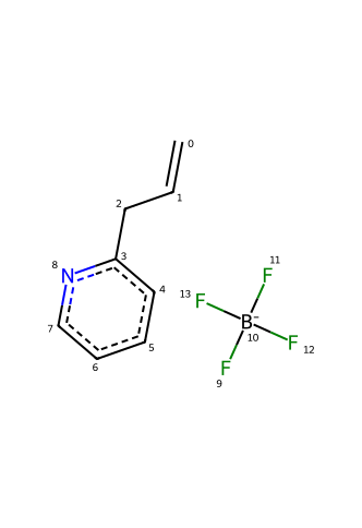 C=CCc1ccccn1.F[B-](F)(F)F